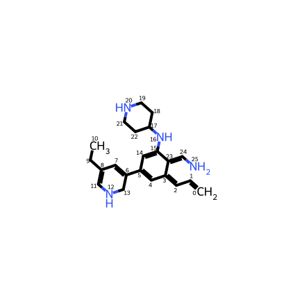 C=C/C=c1/cc(C2=CC(CC)=CNC2)cc(NC2CCNCC2)/c1=C/N